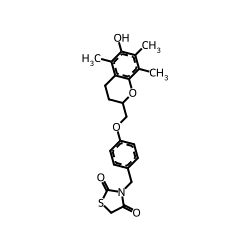 Cc1c(C)c2c(c(C)c1O)CCC(COc1ccc(CN3C(=O)CSC3=O)cc1)O2